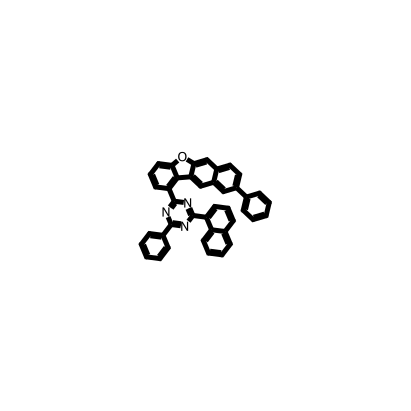 c1ccc(-c2ccc3cc4oc5cccc(-c6nc(-c7ccccc7)nc(-c7cccc8ccccc78)n6)c5c4cc3c2)cc1